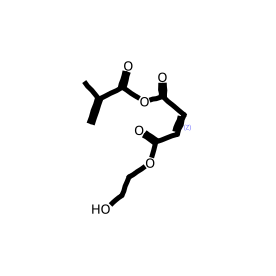 C=C(C)C(=O)OC(=O)/C=C\C(=O)OCCO